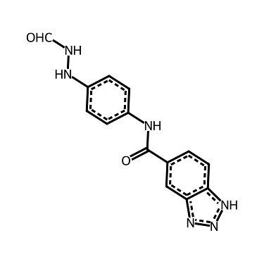 O=CNNc1ccc(NC(=O)c2ccc3[nH]nnc3c2)cc1